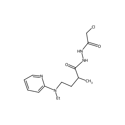 CCN(CCC(C)C(=O)NNC(=O)CCl)c1ccccn1